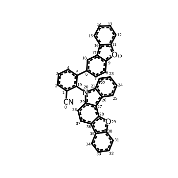 N#Cc1cccc(-c2ccc3oc4ccccc4c3c2)c1-n1c2ccccc2c2c3oc4ccccc4c3ccc21